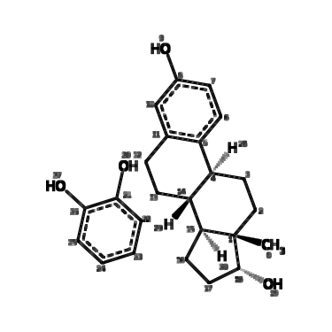 C[C@]12CC[C@@H]3c4ccc(O)cc4CC[C@H]3[C@@H]1CC[C@H]2O.Oc1ccccc1O